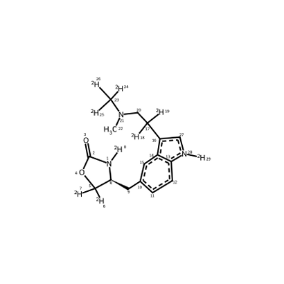 [2H]N1C(=O)OC([2H])([2H])[C@@H]1Cc1ccc2c(c1)c(C([2H])([2H])CN(C)C([2H])([2H])[2H])cn2[2H]